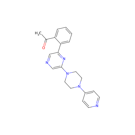 CC(=O)c1ccccc1-c1cncc(N2CCN(c3ccncc3)CC2)n1